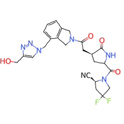 N#C[C@@H]1CC(F)(F)CN1C(=O)C1C[C@@H](CC(=O)N2Cc3cccc(Cn4cc(CO)nn4)c3C2)C(=O)N1